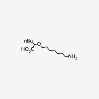 CCCCC(OCCCCCCCN)C(=O)O